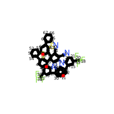 N#Cc1c(C#N)c(-n2c3ccccc3c3cc(C(F)(F)F)ccc32)c(-n2c3ccccc3c3cc(C(F)(F)F)ccc32)c(-c2cccc3c2sc2ccccc23)c1-c1cccc2c1sc1ccccc12